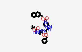 CC(C)(C)OC(=O)NC(C)(C)C(=O)N[C@H](COCc1ccccc1)c1nnc2n1CCN(C(=O)OCc1ccc3ccccc3c1)C2